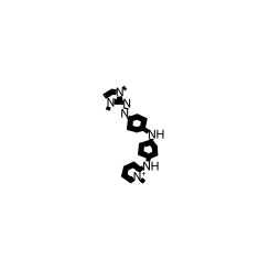 Cn1cc[n+](C)c1/N=N/c1ccc(Nc2ccc(Nc3cccc[n+]3C)cc2)cc1